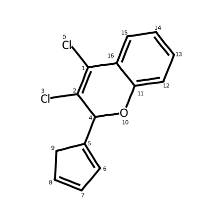 ClC1=C(Cl)C(C2=CC=CC2)Oc2ccccc21